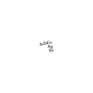 [Ag].[Cu].[In].[Sn].[Zn]